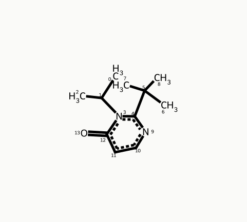 CC(C)n1c(C(C)(C)C)nccc1=O